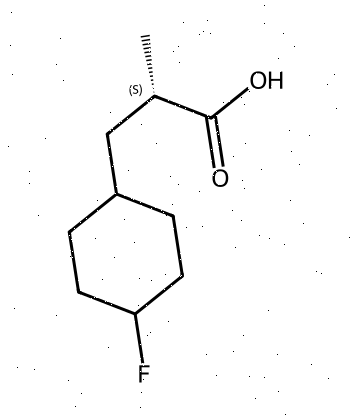 C[C@@H](CC1CCC(F)CC1)C(=O)O